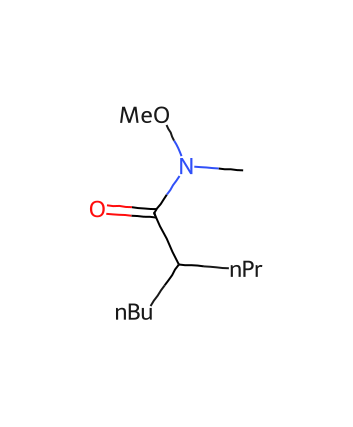 CCCCC(CCC)C(=O)N(C)OC